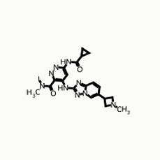 CN1CC(c2ccc3nc(Nc4cc(NC(=O)C5CC5)nnc4C(=O)N(C)I)nn3c2)C1